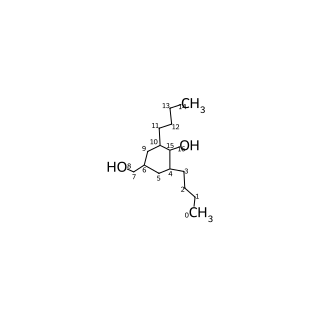 CCCCC1CC(CO)CC(CCCC)C1O